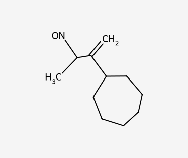 C=C(C1CCCCCC1)C(C)N=O